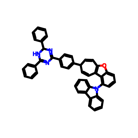 C1=CC(c2ccc(C3=NC(c4ccccc4)NC(c4ccccc4)=N3)cc2)C=Cc2c1oc1cccc(-n3c4ccccc4c4ccccc43)c21